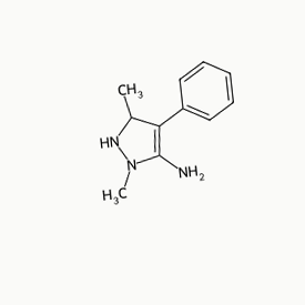 CC1NN(C)C(N)=C1c1ccccc1